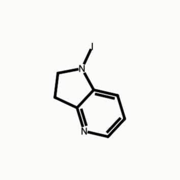 IN1CCc2ncccc21